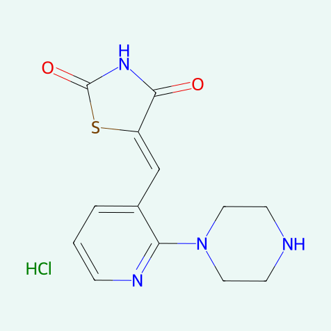 Cl.O=C1NC(=O)C(=Cc2cccnc2N2CCNCC2)S1